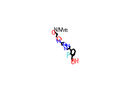 CNC(=O)CCON=C1CN(c2ncc(C3=C(F)C(CO)=CCC3)cn2)C1